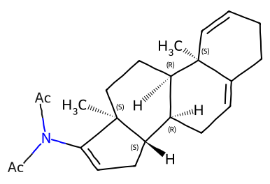 CC(=O)N(C(C)=O)C1=CC[C@H]2[C@@H]3CC=C4CCC=C[C@]4(C)[C@@H]3CC[C@]12C